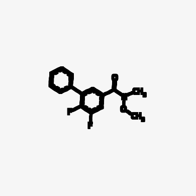 CON(C)C(=O)c1cc(F)c(F)c(-c2ccccc2)c1